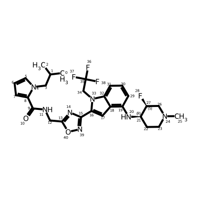 CC(C)Cn1cccc1C(=O)NCc1nc(-c2cc3c(N[C@@H]4CCN(C)C[C@@H]4F)cccc3n2CC(F)(F)F)no1